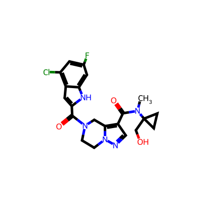 CN(C(=O)c1cnn2c1CN(C(=O)c1cc3c(Cl)cc(F)cc3[nH]1)CC2)C1(CO)CC1